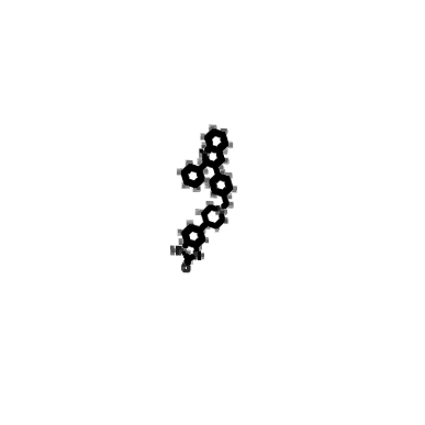 O=C1[N]c2cc(C3CCN(Cc4ccc(-c5cc6ccccc6nc5-c5ccccc5)cc4)CC3)ccc2N1